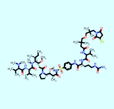 CC[C@H](C)[C@@H]([C@@H](CC(=O)N1CCC[C@H]1[C@H](OC)[C@@H](C)C(=O)NS(=O)(=O)c1ccc(NC(=O)[C@H](CCCNC(N)=O)NC(=O)C(NC(=O)CC(C)(C)COCC(C)(C)CN2C(=O)CC(S)C2=O)C(C)C)cc1)OC)N(C)C(=O)[C@@H](NC(=O)C(C(C)C)N(C)C)C(C)C